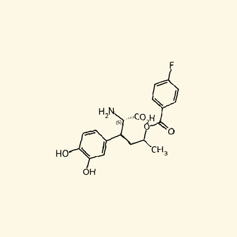 CC(CC(c1ccc(O)c(O)c1)[C@H](N)C(=O)O)OC(=O)c1ccc(F)cc1